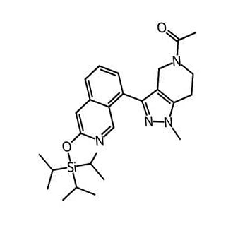 CC(=O)N1CCc2c(c(-c3cccc4cc(O[Si](C(C)C)(C(C)C)C(C)C)ncc34)nn2C)C1